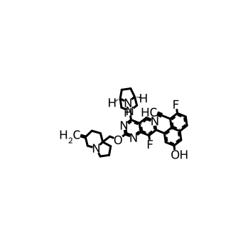 C#Cc1c(F)ccc2cc(O)cc(-c3ncc4c(N5C[C@H]6CC[C@@H](C5)N6)nc(OCC56CCCN5CC(=C)CC6)nc4c3F)c12